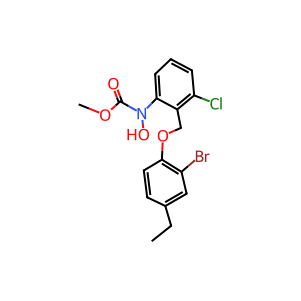 CCc1ccc(OCc2c(Cl)cccc2N(O)C(=O)OC)c(Br)c1